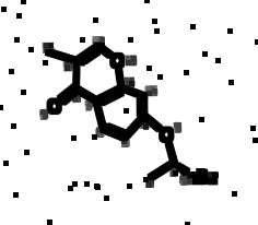 CCCC[C@@H](C)Oc1ccc2c(=O)c(C)coc2c1